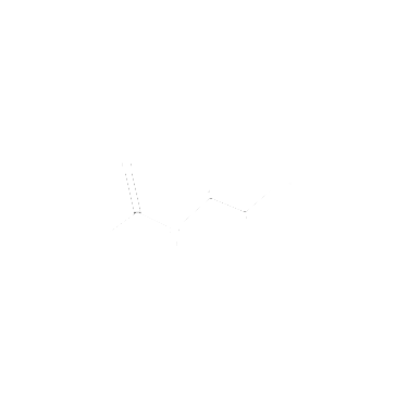 [CH2]C(=O)OCCCl